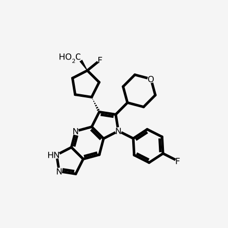 O=C(O)[C@]1(F)CC[C@@H](c2c(C3CCOCC3)n(-c3ccc(F)cc3)c3cc4cn[nH]c4nc23)C1